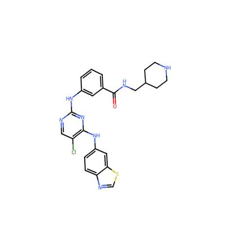 O=C(NCC1CCNCC1)c1cccc(Nc2ncc(Cl)c(Nc3ccc4ncsc4c3)n2)c1